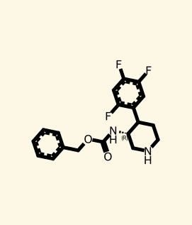 O=C(N[C@H]1CNCCC1c1cc(F)c(F)cc1F)OCc1ccccc1